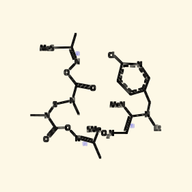 CCN(Cc1ccc(Cl)nc1)/C(=C/[N+](=O)[O-])NC.CS/C(C)=N\OC(=O)N(C)SN(C)C(=O)O/N=C(/C)SC